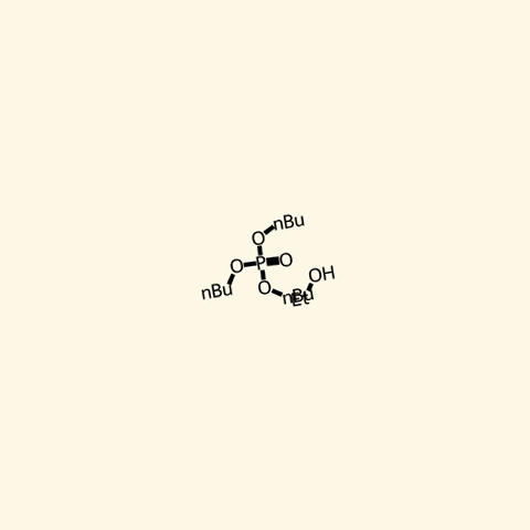 CCCCOP(=O)(OCCCC)OCCCC.CCO